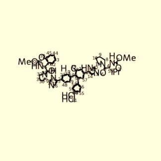 COC(=O)N[C@H](C(=O)N1CCC[C@H]1c1ncc(-c2cc(C)c(-c3ccc(-c4cnc([C@@H]5CCCN5C(=O)[C@H](NC(=O)OC)c5ccccc5)[nH]4)cc3)c(-c3ccccc3)c2)[nH]1)C(C)C.Cl.Cl